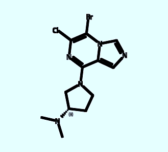 CN(C)[C@H]1CCN(c2nc(Cl)c(Br)n3cncc23)C1